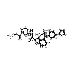 C=CC(=O)N1CCC[C@@H](NC(=O)c2sc3nccc4c3c2[nH]c(=C)n4-c2ccc(-c3cccs3)cc2)C1